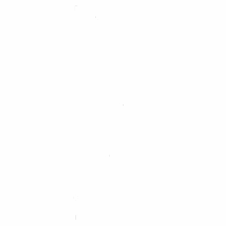 C=CC(COCC(C=C)OCCOCC)OCCOCC